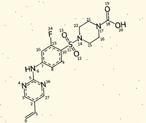 C=Cc1cnc(Nc2ccc(S(=O)(=O)N3CCN(C(=O)O)CC3)c(F)c2)nc1